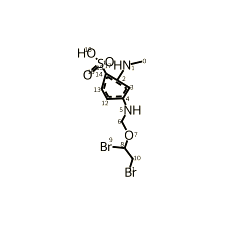 CNc1cc(NCOC(Br)CBr)ccc1S(=O)(=O)O